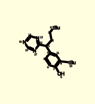 CC(C)(C)CCC(c1ccc(O)c(C(C)(C)C)c1)c1ncncn1